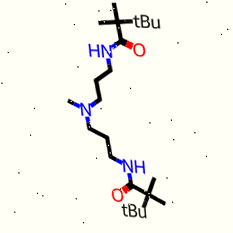 CN(CCCNC(=O)C(C)(C)C(C)(C)C)CCCNC(=O)C(C)(C)C(C)(C)C